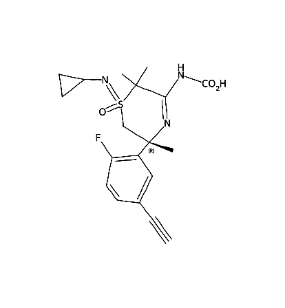 C#Cc1ccc(F)c([C@]2(C)CS(=O)(=NC3CC3)C(C)(C)C(NC(=O)O)=N2)c1